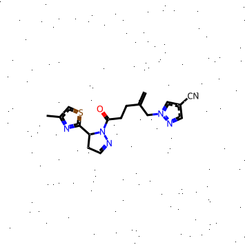 C=C(CCC(=O)N1N=CCC1c1nc(C)cs1)Cn1cc(C#N)cn1